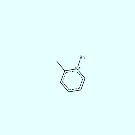 [B-][n+]1ccccc1C